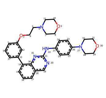 c1cc(OCCN2CCOCC2)cc(-c2cccc3cnc(Nc4ccc(N5CCOCC5)cc4)nc23)c1